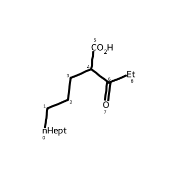 CCCCCCCCCCC(C(=O)O)C(=O)CC